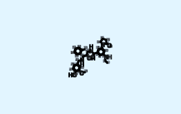 CCNc1cc(C(=O)N[C@@H](Cc2ccccc2)[C@H](O)CNCc2ccc(O)c(OC)c2)cc(N2CCCC2=O)c1